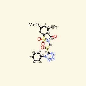 COc1cc(C(C)C)c2c(c1)S(=O)(=O)N(C[S+]([O-])c1nnnn1-c1ccccc1)C2=O